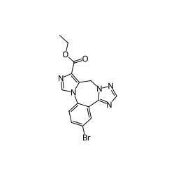 CCOC(=O)c1ncn2c1Cn1ncnc1-c1cc(Br)ccc1-2